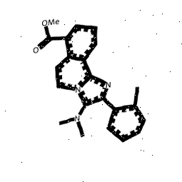 COC(=O)c1cccc2c1ccn1c(N(C)C)c(-c3ccccc3C)nc21